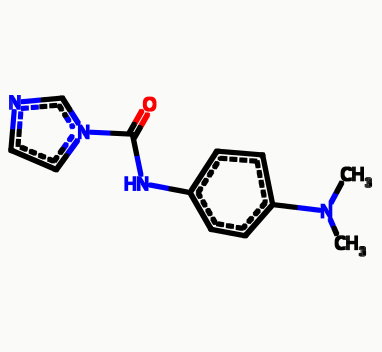 CN(C)c1ccc(NC(=O)n2ccnc2)cc1